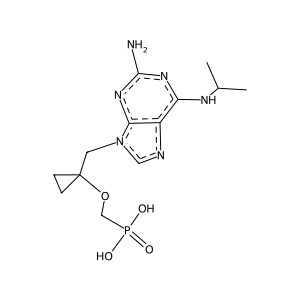 CC(C)Nc1nc(N)nc2c1ncn2CC1(OCP(=O)(O)O)CC1